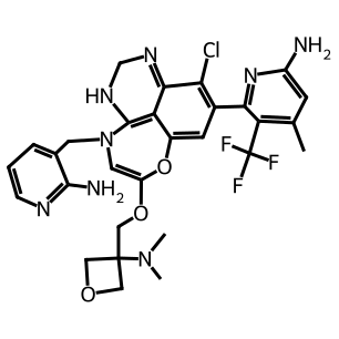 Cc1cc(N)nc(-c2cc3c4c(c2Cl)=NCNC=4N(Cc2cccnc2N)C=C(OCC2(N(C)C)COC2)O3)c1C(F)(F)F